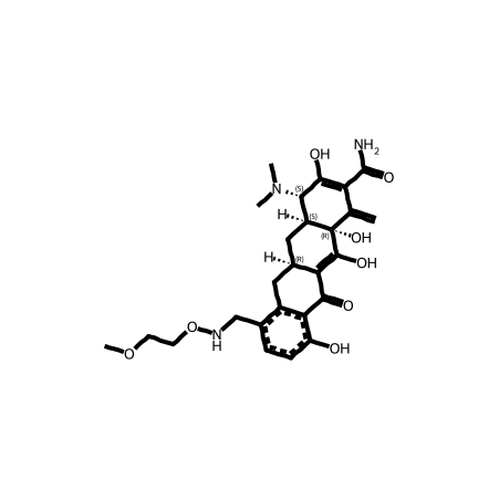 C=C1C(C(N)=O)=C(O)[C@@H](N(C)C)[C@@H]2C[C@@H]3Cc4c(CNOCCOC)ccc(O)c4C(=O)C3=C(O)[C@]12O